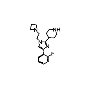 Fc1ccccc1-c1cn(CCN2CCC2)c(C2CCNCC2)n1